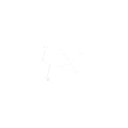 NCCCl.O=S(=O)(O)O